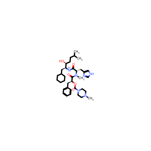 CC(C)CC[C@H](O)[C@H](CC1CCCCC1)NC(=O)[C@H](Cc1c[nH]cn1)N(C)C(=O)[C@H](Cc1ccccc1)OC(=O)N1CCN(C)CC1